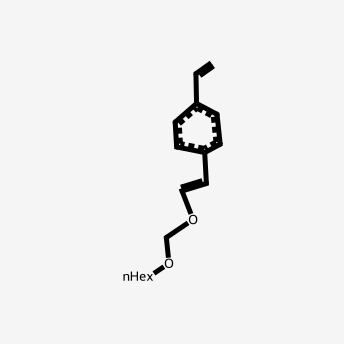 C=Cc1ccc(C=COCOCCCCCC)cc1